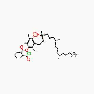 Cc1c(C)c2c(c(C)c1OC(=O)C1CCCCC1C(=O)Cl)CC[C@@](C)(CCC[C@H](C)CCC[C@H](C)CCCC(C)C)O2